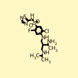 CC(C)NCC(CNc1cc(F)c(S(=O)(=O)Nc2ncns2)cc1Cl)C(C)N